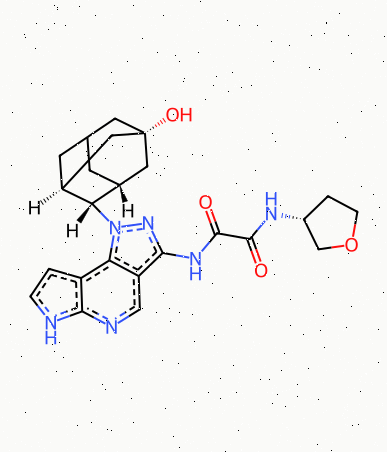 O=C(Nc1nn([C@H]2[C@@H]3CC4C[C@H]2C[C@@](O)(C4)C3)c2c1cnc1[nH]ccc12)C(=O)N[C@@H]1CCOC1